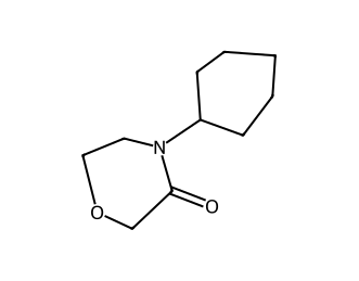 O=C1COCCN1C1CCCCC1